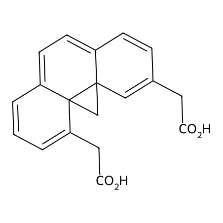 O=C(O)CC1=CC23CC24C(=CC=C3C=C1)C=CC=C4CC(=O)O